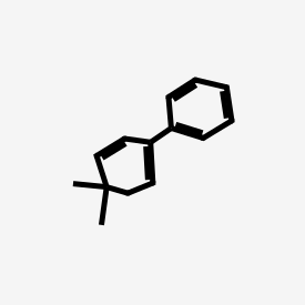 CC1(C)C=CC(c2ccccc2)=CC1